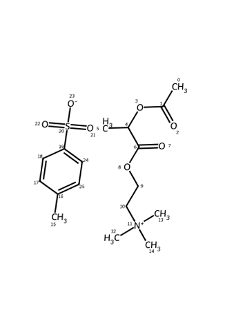 CC(=O)OC(C)C(=O)OCC[N+](C)(C)C.Cc1ccc(S(=O)(=O)[O-])cc1